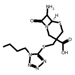 CCCCn1nnnc1SCC1(C(=O)O)CS[C@@H]2C(N)C(=O)N2C1